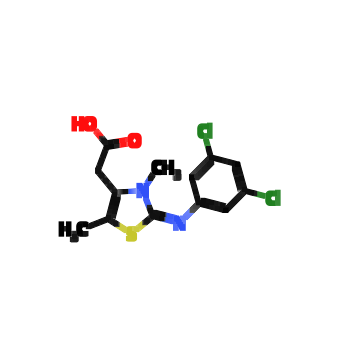 Cc1sc(=Nc2cc(Cl)cc(Cl)c2)n(C)c1CC(=O)O